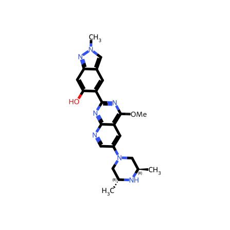 COc1nc(-c2cc3cn(C)nc3cc2O)nc2ncc(N3C[C@@H](C)N[C@H](C)C3)cc12